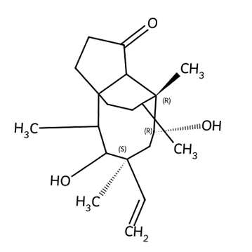 C=C[C@]1(C)C[C@@H](O)[C@]2(C)C(C)CCC3(CCC(=O)C32)C(C)C1O